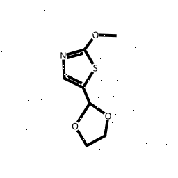 COc1ncc(C2OCCO2)s1